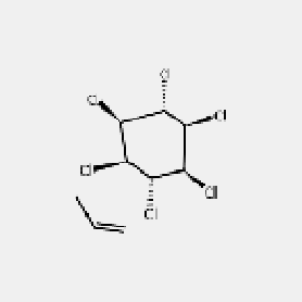 C=CC.Cl[C@H]1[C@H](Cl)[C@@H](Cl)[C@@H](Cl)[C@H](Cl)[C@H]1Cl